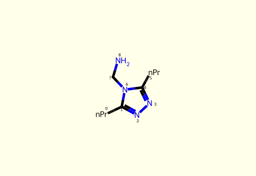 CCCc1nnc(CCC)n1CN